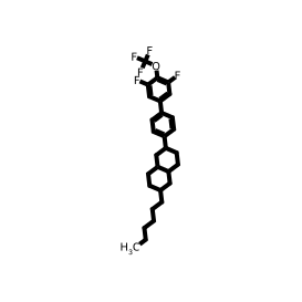 CCCCCCC1CCC2CC(c3ccc(-c4cc(F)c(OC(F)(F)F)c(F)c4)cc3)CCC2C1